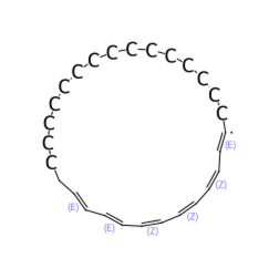 [C]1=C/C=C\C=C/C=C\C=C\C=C\CCCCCCCCCCCCCCCC/1